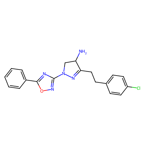 NC1CN(c2noc(-c3ccccc3)n2)N=C1CCc1ccc(Cl)cc1